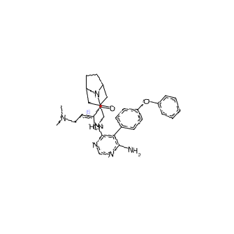 CN(C)C/C=C(\C#N)C(=O)N1C2CCC1CC(CNc1ncnc(N)c1-c1ccc(Oc3ccccc3)cc1)C2